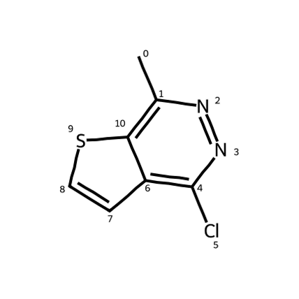 Cc1nnc(Cl)c2ccsc12